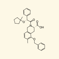 Cc1ccc2c(c1OCc1ccccc1)C[C@@H](C(=O)O)N(C(=O)[C@H](OC1(C)CCCC1)c1ccccc1)C2